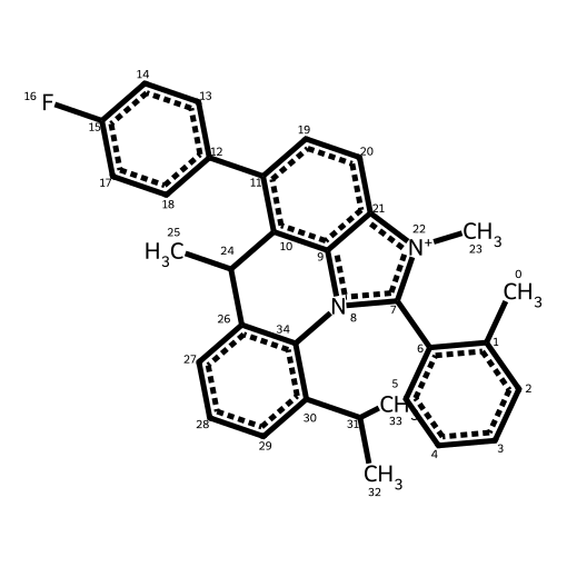 Cc1ccccc1-c1n2c3c(c(-c4ccc(F)cc4)ccc3[n+]1C)C(C)c1cccc(C(C)C)c1-2